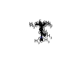 COC(=O)N[C@@H](CC/C=C/C(=O)N(C)C)C(=O)Nc1cccn(Cc2nc3c(CC(C)(C)C)cc(F)cc3n2C(=O)OC(C)(C)C)c1=O